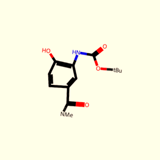 CNC(=O)c1ccc(O)c(NC(=O)OC(C)(C)C)c1